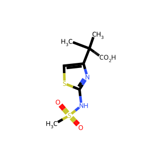 CC(C)(C(=O)O)c1csc(NS(C)(=O)=O)n1